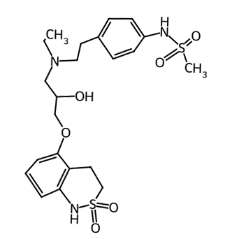 CCN(CCc1ccc(NS(C)(=O)=O)cc1)CC(O)COc1cccc2c1CCS(=O)(=O)N2